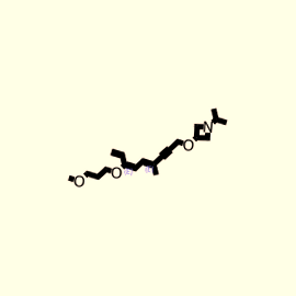 C=C/C(=C\C=C(/C)C#CCOC1CN(C(C)C)C1)OCCCOC